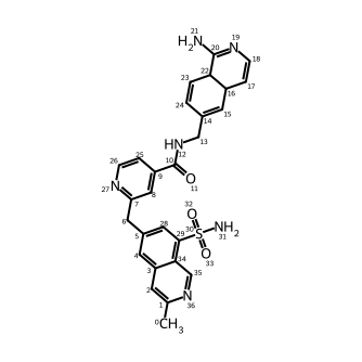 Cc1cc2cc(Cc3cc(C(=O)NCC4=CC5C=CN=C(N)C5C=C4)ccn3)cc(S(N)(=O)=O)c2cn1